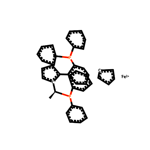 C[C@@H]([c-]1cccc1-c1ccccc1P(c1ccccc1)c1ccccc1)P(c1ccccc1)c1ccccc1.[Fe+2].c1cc[cH-]c1